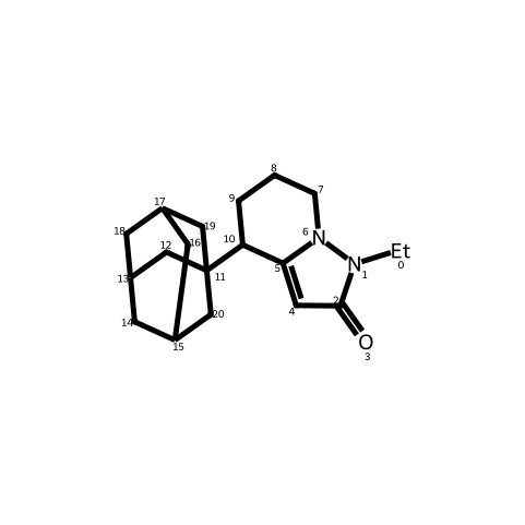 CCn1c(=O)cc2n1CCCC2C12CC3CC(CC(C3)C1)C2